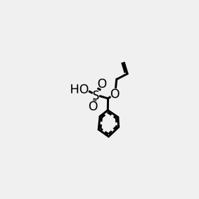 C=CCOC(c1ccccc1)S(=O)(=O)O